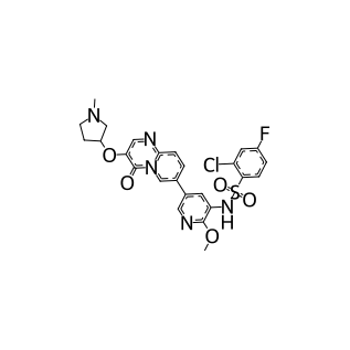 COc1ncc(-c2ccc3ncc(OC4CCN(C)C4)c(=O)n3c2)cc1NS(=O)(=O)c1ccc(F)cc1Cl